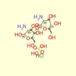 Cl.N[C@@H]1[C@@H](O)[C@H](O)[C@@H](CO)O[C@H]1O.N[C@@H]1[C@@H](O)[C@H](O)[C@@H](CO)O[C@H]1O.O=S(=O)(O)O